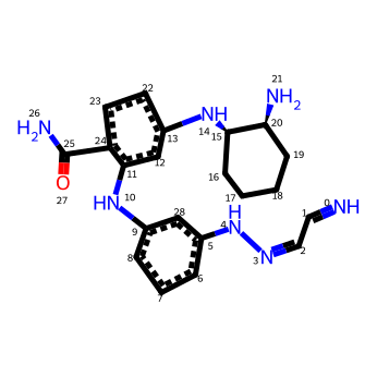 N=C/C=N\Nc1cccc(Nc2cc(N[C@@H]3CCCC[C@@H]3N)ccc2C(N)=O)c1